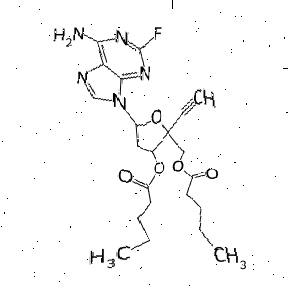 C#CC1(COC(=O)CCCC)OC(n2cnc3c(N)nc(F)nc32)CC1OC(=O)CCCC